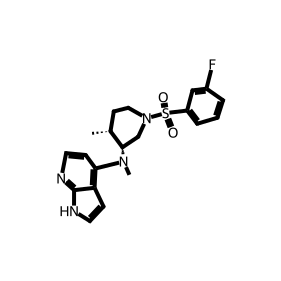 C[C@@H]1CCN(S(=O)(=O)c2cccc(F)c2)C[C@@H]1N(C)c1ccnc2[nH]ccc12